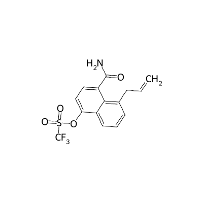 C=CCc1cccc2c(OS(=O)(=O)C(F)(F)F)ccc(C(N)=O)c12